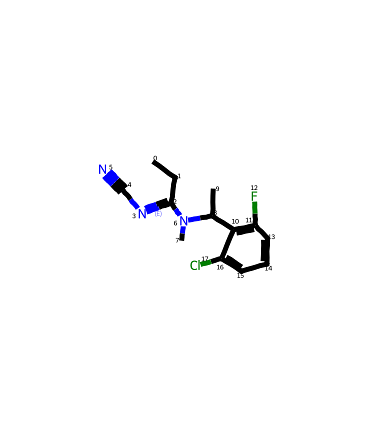 CC/C(=N\C#N)N(C)C(C)c1c(F)cccc1Cl